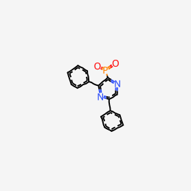 O=P(=O)c1ncc(-c2ccccc2)nc1-c1ccccc1